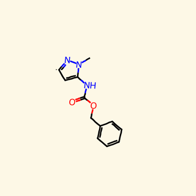 Cn1n[c]cc1NC(=O)OCc1ccccc1